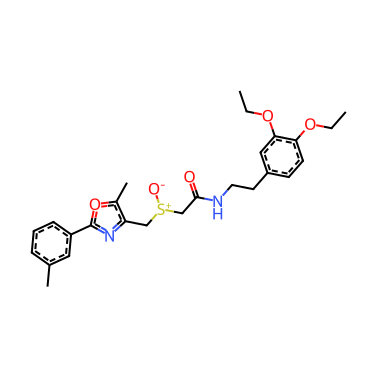 CCOc1ccc(CCNC(=O)C[S+]([O-])Cc2nc(-c3cccc(C)c3)oc2C)cc1OCC